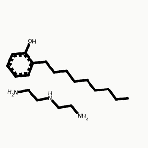 CCCCCCCCCc1ccccc1O.NCCNCCN